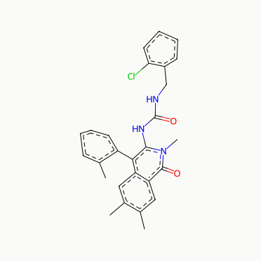 Cc1cc2c(-c3ccccc3C)c(NC(=O)NCc3ccccc3Cl)n(C)c(=O)c2cc1C